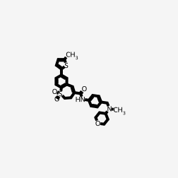 Cc1ccc(-c2ccc3c(c2)C=C(C(=O)Nc2ccc(CN(C)C4CCOCC4)cc2)CCS3(=O)=O)s1